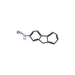 CCC(C)Nc1ccc2c(c1)Cc1ccccc1-2